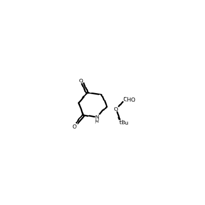 CC(C)(C)OC=O.O=C1CCNC(=O)C1